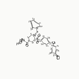 O=C(NO)C1CCN(Cc2ccccc2)C(S(=O)(=O)c2ccc(Oc3ccc(Cl)cc3)cc2)C1